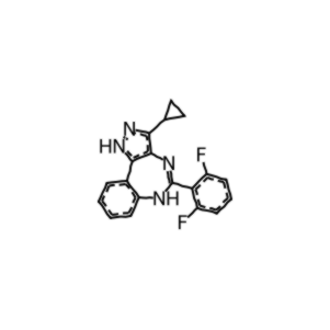 Fc1cccc(F)c1C1=Nc2c(C3CC3)n[nH]c2-c2ccccc2N1